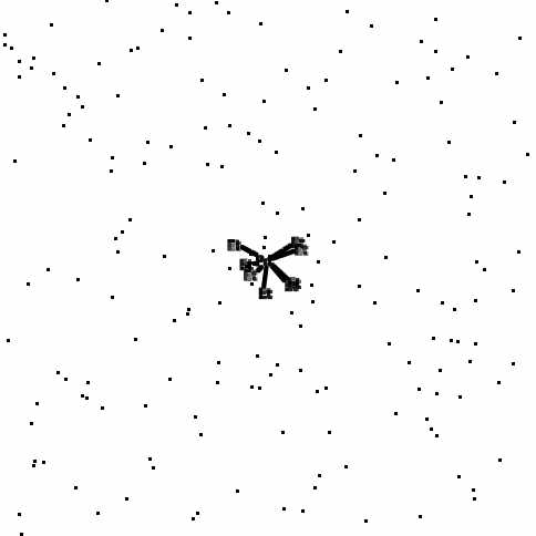 C[CH2][Pd]([CH2]C)([CH2]C)([CH2]C)([CH2]C)([CH2]C)([CH2]C)[CH2]C